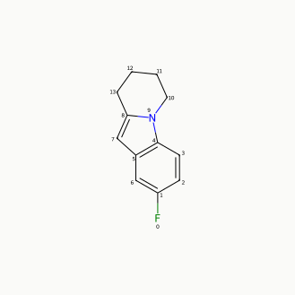 Fc1ccc2c(c1)cc1n2CCCC1